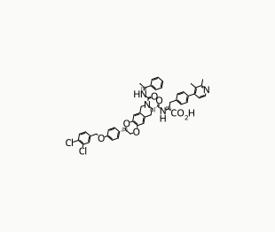 Cc1nccc(-c2ccc(C[C@H](NC(=O)[C@@H]3Cc4cc5c(cc4CN3C(=O)N[C@@H](C)c3ccccc3)O[C@@H](c3ccc(OCc4ccc(Cl)c(Cl)c4)cc3)CO5)C(=O)O)cc2)c1C